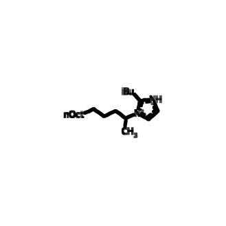 CCCCCCCCCCCC(C)[n+]1cc[nH]c1C(C)CC